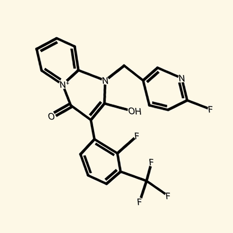 O=c1c(-c2cccc(C(F)(F)F)c2F)c(O)n(Cc2ccc(F)nc2)c2cccc[n+]12